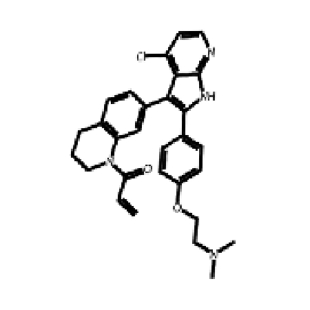 C=CC(=O)N1CCCc2ccc(-c3c(-c4ccc(OCCN(C)C)cc4)[nH]c4nccc(Cl)c34)cc21